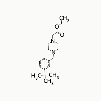 CCOC(=O)CN1CCN(Cc2cccc(C(C)(C)C)c2)CC1